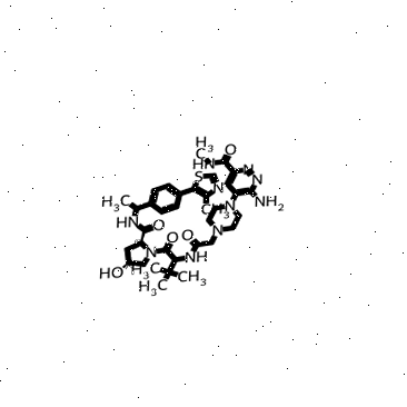 CNC(=O)c1cc(N2CCN(CC(=O)NC(C(=O)N3C[C@H](O)C[C@H]3C(=O)NC(C)c3ccc(-c4scnc4C)cc3)C(C)(C)C)CC2)c(N)nn1